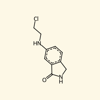 O=C1NCc2ccc(NCCCl)cc21